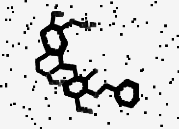 CCOC(=O)Oc1cc2c(cc1OC)CCN(C(=O)OCC)/C2=C\c1ccc(OC)c(OCc2ccccc2)c1Br